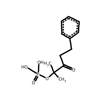 CC(C)(OP(=O)(O)O)C(=O)CCc1ccccc1